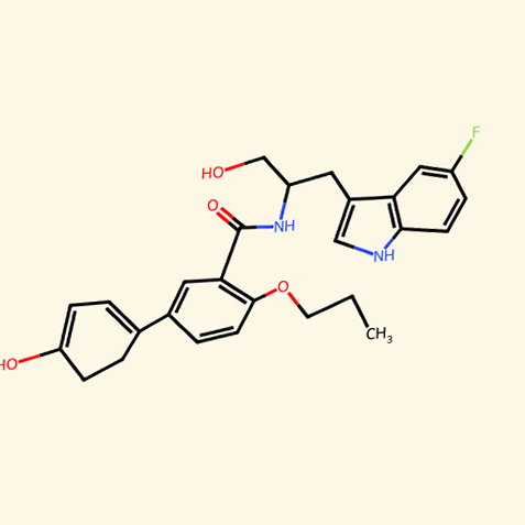 CCCOc1ccc(C2=CC=C(O)CC2)cc1C(=O)NC(CO)Cc1c[nH]c2ccc(F)cc12